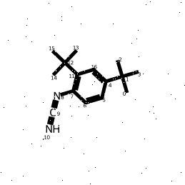 CC(C)(C)c1ccc(N=C=N)c(C(C)(C)C)c1